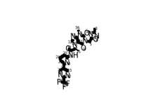 Cc1noc(Cn2c(=O)c3c(ncn3[C@@H](C)C(=O)Nc3cccc(-c4cnc(C(F)(F)F)nc4)n3)n(C)c2=O)n1